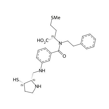 CSCC[C@@H](C(=O)O)N(CCc1ccccc1)C(=O)c1cccc(NC[C@@H]2NCC[C@@H]2S)c1